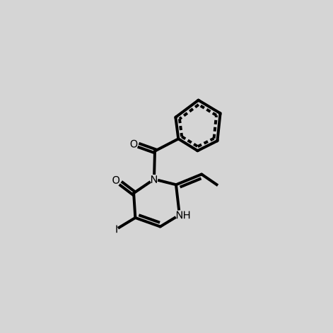 CC=C1NC=C(I)C(=O)N1C(=O)c1ccccc1